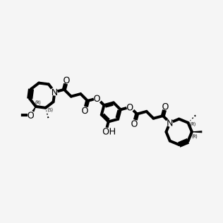 CO[C@H]1C#CCCN(C(=O)CCC(=O)Oc2cc(O)cc(OC(=O)CCC(=O)N3CCC#C[C@H](C)[C@@H](C)C3)c2)C[C@@H]1C